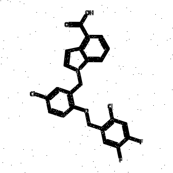 O=C(O)c1cccc2c1ccn2Cc1cc(Cl)ccc1OCc1cc(F)c(F)cc1Cl